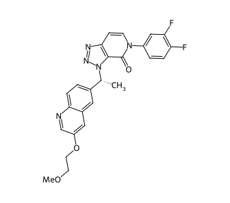 COCCOc1cnc2ccc([C@@H](C)n3nnc4ccn(-c5ccc(F)c(F)c5)c(=O)c43)cc2c1